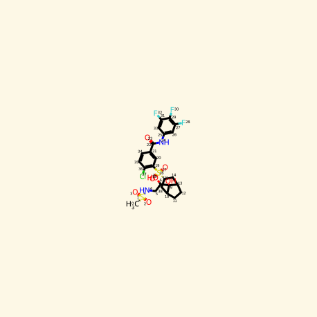 CS(=O)(=O)NCC(O)[C@]1(O)C2CCC1C[C@@H](S(=O)(=O)c1cc(C(=O)Nc3cc(F)c(F)c(F)c3)ccc1Cl)C2